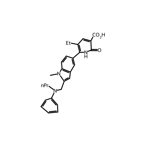 CCCN(Cc1cc2cc(-c3[nH]c(=O)c(C(=O)O)cc3CC)ccc2n1C)c1ccccc1